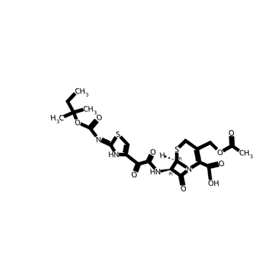 CCC(C)(C)OC(=O)N=c1[nH]c(C(=O)C(=O)N[C@@H]2C(=O)N3C(C(=O)O)=C(COC(C)=O)CS[C@H]23)cs1